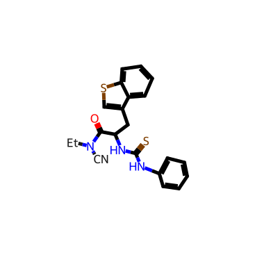 CCN(C#N)C(=O)C(Cc1csc2ccccc12)NC(=S)Nc1ccccc1